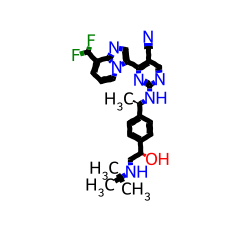 C[C@H](Nc1ncc(C#N)c(-c2cnc3c(C(F)F)cccn23)n1)c1ccc([C@@H](O)CNC(C)(C)C)cc1